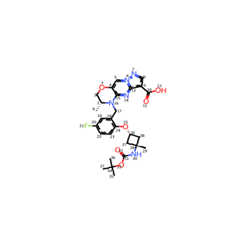 C[C@@H]1COc2cn3ncc(C(=O)O)c3nc2N1Cc1cc(F)ccc1O[C@H]1C[C@@](C)(NC(=O)OC(C)(C)C)C1